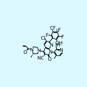 C=CC(=O)N1CCN(c2c(C#N)c(=O)n(-c3c(C)ccnc3C(C)C)c3nc(-c4c(O)c(F)c(F)c(C(F)(F)F)c4F)c(Cl)cc23)C[C@H]1C